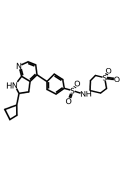 O=S1(=O)CCC(NS(=O)(=O)c2ccc(-c3ccnc4c3CC(C3CCC3)N4)cc2)CC1